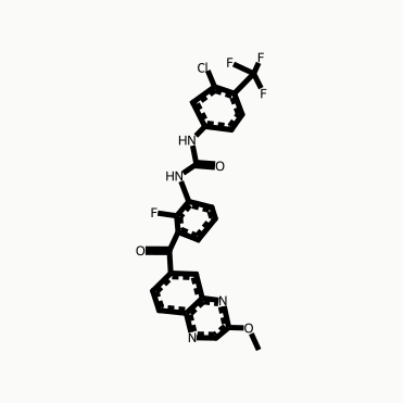 COc1cnc2ccc(C(=O)c3cccc(NC(=O)Nc4ccc(C(F)(F)F)c(Cl)c4)c3F)cc2n1